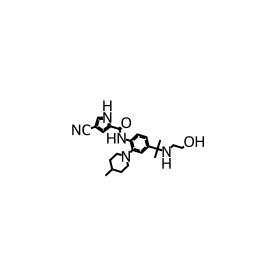 CC1CCN(c2cc(C(C)(C)NCCO)ccc2NC(=O)c2cc(C#N)c[nH]2)CC1